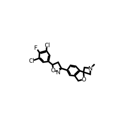 CN1CC2(C1)OCc1cc(C3=NOC(c4cc(Cl)c(F)c(Cl)c4)C3)ccc12